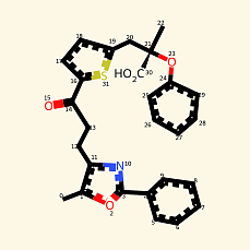 Cc1oc(-c2ccccc2)nc1CCC(=O)c1ccc(C[C@](C)(Oc2ccccc2)C(=O)O)s1